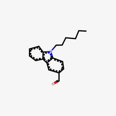 CCCCCCn1c2ccccc2c2cc(C=O)ccc21